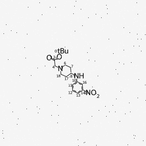 CC(C)(C)OC(=O)CN1CCC(Nc2cccc([N+](=O)[O-])c2)CC1